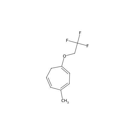 CC1=CC=C(OCC(F)(F)F)CC=C1